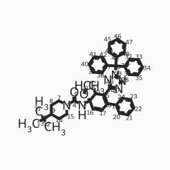 COC1(NC(=O)N2CCC(C(C)(C)C)CC2)C=CC(c2ccccc2)=C(c2nnn(C(c3ccccc3)(c3ccccc3)c3ccccc3)n2)C1C